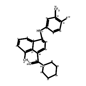 Cc1cccc2c(Nc3ccc(F)c(C(F)(F)F)c3)ccc(C(=O)N3CCCCC3)c12